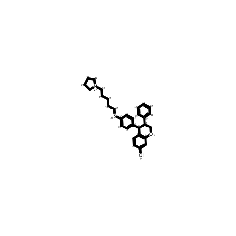 Oc1ccc2c(c1)OCC(c1ccccc1)C2c1ccc(SCCCCCN2CCCC2)cc1